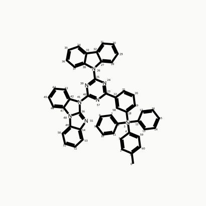 Cc1ccc([Si](c2ccccc2)(c2ccccc2)c2cccc(-c3nc(-n4c5ccccc5c5ccccc54)nc(-n4c5ccccc5n5c6ccccc6nc45)n3)c2)cc1